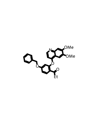 CCC(=O)c1ccc(OCc2ccccc2)cc1Oc1ccnc2cc(OC)c(OC)cc12